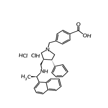 C[C@@H](NC[C@H]1CN(Cc2ccc(C(=O)O)cc2)C[C@@H]1c1ccccc1)c1cccc2ccccc12.Cl.Cl